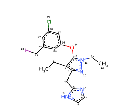 CCc1c(Cc2ncc[nH]2)nn(CC)c1Oc1cc(Cl)cc(CI)c1